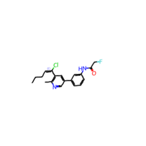 CCC/C=C(/Cl)c1cc(-c2cccc(NC(=O)CF)c2)cnc1C